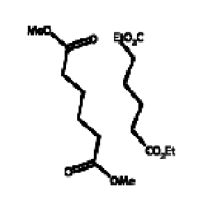 CCOC(=O)CCCCC(=O)OCC.COC(=O)CCCCC(=O)OC